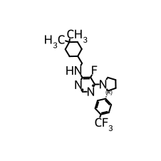 CC1(C)CCC(CNc2ncnc(N3CCC[C@@H]3c3ccc(C(F)(F)F)cc3)c2F)CC1